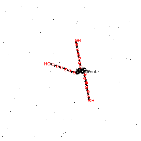 CCC[C@@H](C)[C@H]1CC[C@H]2[C@@H]3[C@H](OCCOCCOCCOCCOCCOCCO)C[C@@H]4C[C@H](OCCOCCOCCOCCOCCOCCO)CC[C@]4(C)[C@H]3C[C@H](OCCOCCOCCOCCOCCOCCO)[C@]12C